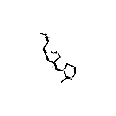 C/N=C\C=C=C/C(=C/N1CC=CN=C1C)CNC